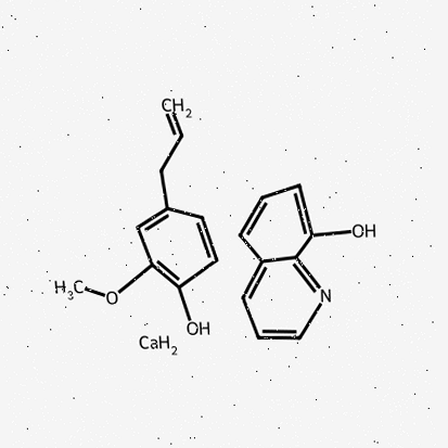 C=CCc1ccc(O)c(OC)c1.Oc1cccc2cccnc12.[CaH2]